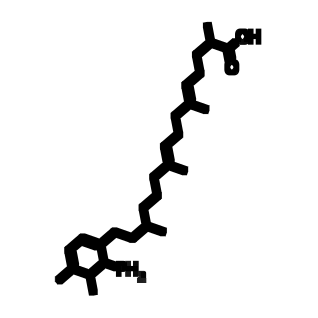 CC1=CC=C(CCC(C)CCC/C(C)=C/CC/C(C)=C/CCC(C)C(=O)O)C(P)C1C